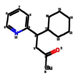 CC(C)(C)C(=O)CC(c1ccccn1)C1CCCCC1